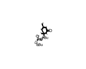 CC1CC(=O)CC(C)(C)C1.CCCCO[PH](=O)OCCCC